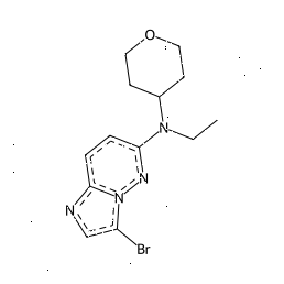 CCN(c1ccc2ncc(Br)n2n1)C1CCOCC1